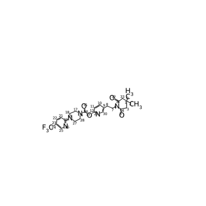 CC1(C)CC(=O)N(CCc2ccc(OC(=O)N3CCN(c4ccc(C(F)(F)F)cn4)CC3)nc2)C(=O)C1